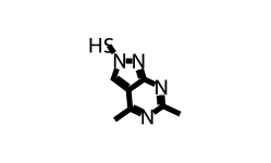 Cc1nc(C)c2cn(S)nc2n1